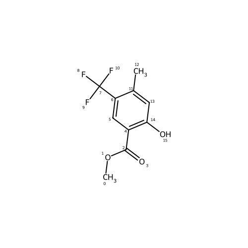 COC(=O)c1cc(C(F)(F)F)c(C)cc1O